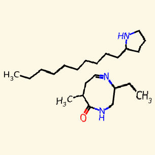 CCC1CNC(=O)C(C)CC=N1.CCCCCCCCCCC1CCCN1